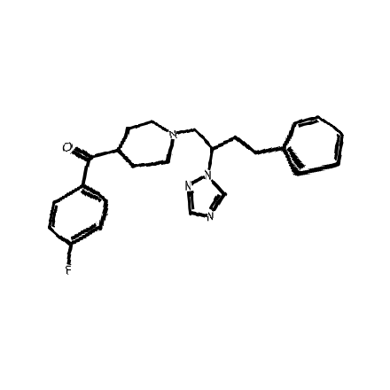 O=C(c1ccc(F)cc1)C1CCN(CC(CCc2ccccc2)n2cncn2)CC1